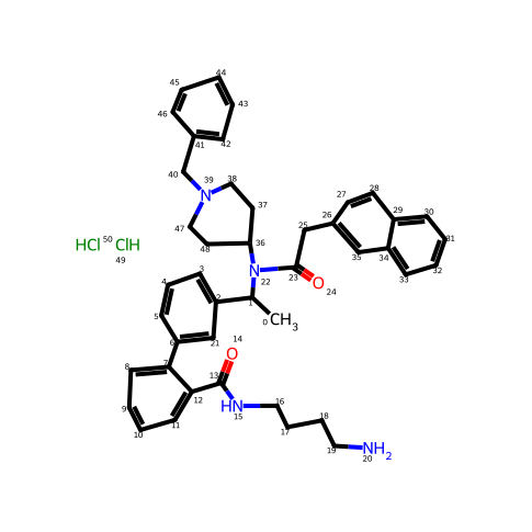 CC(c1cccc(-c2ccccc2C(=O)NCCCCN)c1)N(C(=O)Cc1ccc2ccccc2c1)C1CCN(Cc2ccccc2)CC1.Cl.Cl